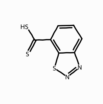 S=C(S)c1cccc2nnsc12